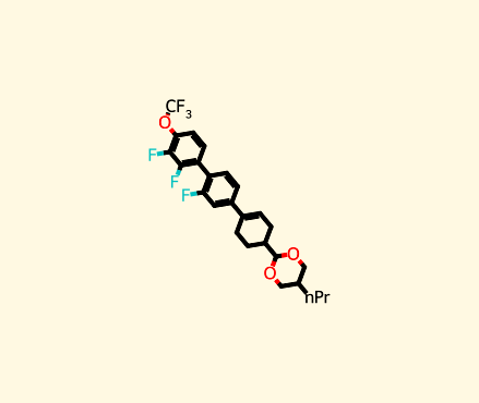 CCCC1COC(C2CC=C(c3ccc(-c4ccc(OC(F)(F)F)c(F)c4F)c(F)c3)CC2)OC1